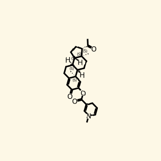 CC(=O)[C@H]1CC[C@H]2[C@@H]3CCC4=CC(=O)C(OC(=O)C5=CN(C)C=CC5)=C[C@]4(C)[C@H]3CC[C@]12C